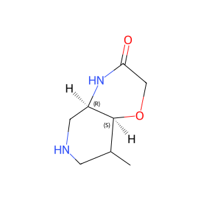 CC1CNC[C@H]2NC(=O)CO[C@@H]12